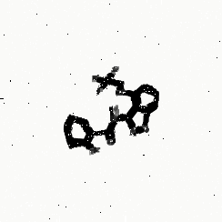 O=C(Nc1noc2cccc(OCC(F)(F)F)c12)c1ccccc1Br